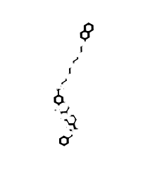 CN1C(=O)[C@@H](N2CCc3c(nn(Cc4ccccc4)c3Cl)C2=O)COc2cc(C(=O)NCCOCCOCCOCCOc3ccc4ccccc4c3)ccc21